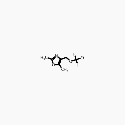 CCC(F)(F)OCc1nc(C)oc1C